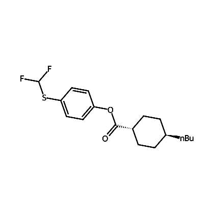 CCCC[C@H]1CC[C@H](C(=O)Oc2ccc(SC(F)F)cc2)CC1